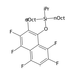 CCCCCCCC[Si](CCCCCCCC)(Oc1c(F)c(F)c(F)c2c(F)[c]c(F)c(F)c12)C(C)C